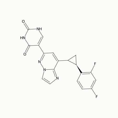 O=c1[nH]cc(-c2cc(C3C[C@H]3c3ccc(F)cc3F)c3nccn3n2)c(=O)[nH]1